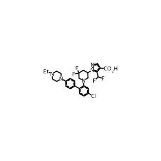 CCN1CCN(c2ccc(-c3ccc(Cl)cc3N3CC(n4ncc(C(=O)O)c4C(F)F)CC(F)(F)C3)cc2)CC1